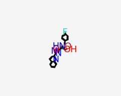 O=C(N[C@@H](CO)c1nc(-c2ccc3ccccc3n2)no1)c1ccc(F)cc1